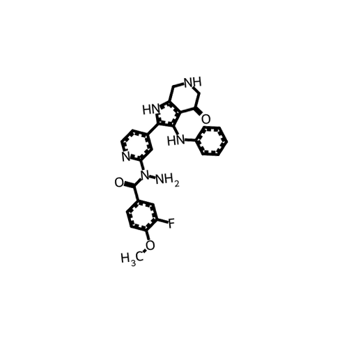 COc1ccc(C(=O)N(N)c2cc(-c3[nH]c4c(c3Nc3ccccc3)C(=O)CNC4)ccn2)cc1F